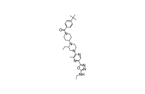 CCNc1nnc(-c2cnc(N3CCN(C4CCN(C(=O)c5ccc(C(C)(C)C)cc5)CC4)C(CC)C3)c(C)n2)o1